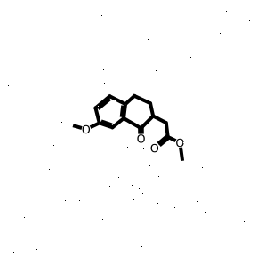 COC(=O)CC1CCc2ccc(OC)cc2C1=O